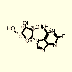 Nc1nc(F)nc2ncn([C@@H]3O[C@H](CO)[C@@H](O)[C@@H]3O)c12